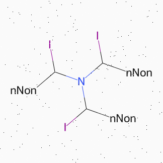 CCCCCCCCCC(I)N(C(I)CCCCCCCCC)C(I)CCCCCCCCC